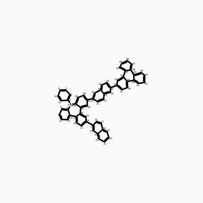 c1ccc(N2c3ccccc3-c3ccc(-c4ccc5ccccc5c4)cc3-c3cc(-c4ccc5cc(-c6ccc7c8ccccc8c8ccccc8c7c6)ccc5c4)ccc32)cc1